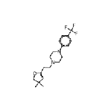 CC1(C)C=C(CCN2CCN(c3ccc(C(F)(F)F)cc3)CC2)OC1